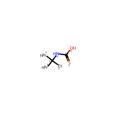 CCCC(CC)(CCC)NC(O)=S